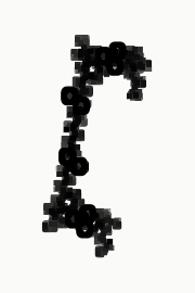 CCCCC1(CC)COP(Oc2ccc(CCCC(=O)OCCCCCCOC(=O)CCc3ccc(OP4OCC(CC)(CCCC)CO4)c(C(C)(C)C)c3)cc2C(C)(C)C)OC1